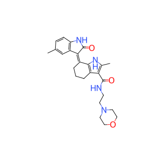 Cc1ccc2c(c1)/C(=C1\CCCc3c1[nH]c(C)c3C(=O)NCCN1CCOCC1)C(=O)N2